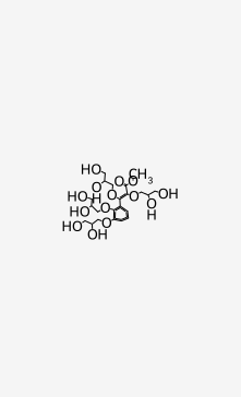 COC(=O)C(OCC(O)CO)=C(OCC(O)CO)c1cccc(OCC(O)CO)c1OCC(O)CO